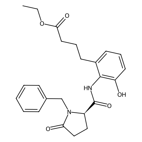 CCOC(=O)CCCc1cccc(O)c1NC(=O)[C@H]1CCC(=O)N1Cc1ccccc1